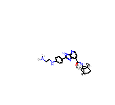 CCN(CC)CCNc1ccc(-c2nc3c(C(=O)N[C@H]4C[C@H]5CC[C@]4(C)C5(C)C)ccnc3[nH]2)cc1